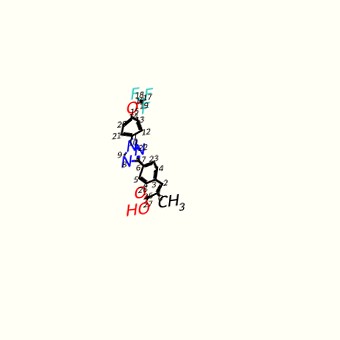 CC(=Cc1ccc(-c2ncn(-c3ccc(OC(F)(F)F)cc3)n2)cc1)C(=O)O